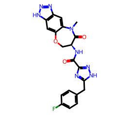 CN1C(=O)[C@@H](NC(=O)c2n[nH]c(Cc3ccc(F)cc3)n2)COc2cc3[nH]nnc3cc21